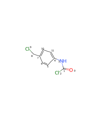 O=C(Cl)Nc1ccc(CCl)cc1